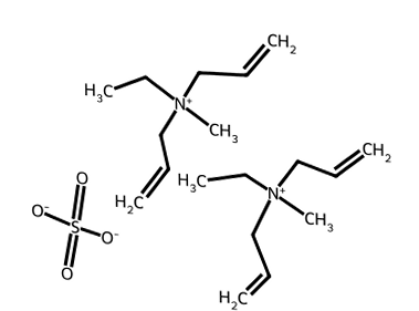 C=CC[N+](C)(CC)CC=C.C=CC[N+](C)(CC)CC=C.O=S(=O)([O-])[O-]